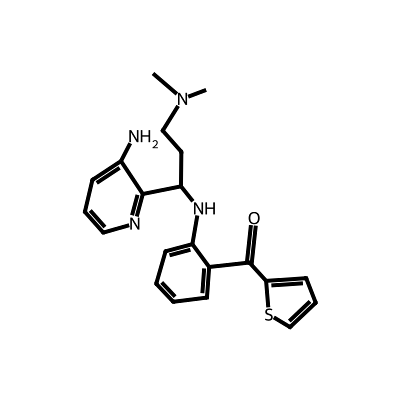 CN(C)CCC(Nc1ccccc1C(=O)c1cccs1)c1ncccc1N